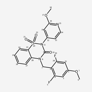 COc1cc(F)c(CN2C(=O)N(c3ccnc(OC)c3)S(=O)(=O)c3ccccc32)c(F)c1